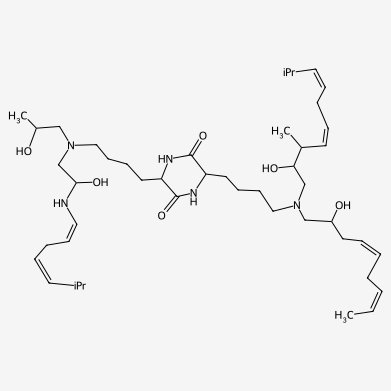 C/C=C\C/C=C\CC(O)CN(CCCCC1NC(=O)C(CCCCN(CC(C)O)CC(O)N/C=C\C/C=C\C(C)C)NC1=O)CC(O)C(C)/C=C\C/C=C\C(C)C